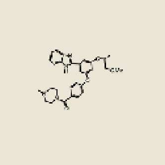 COC[C@H](C)Oc1cc(Oc2ccc(C(=O)N3CCN(C)CC3)cc2)cc(-c2nc3cccnc3[nH]2)c1